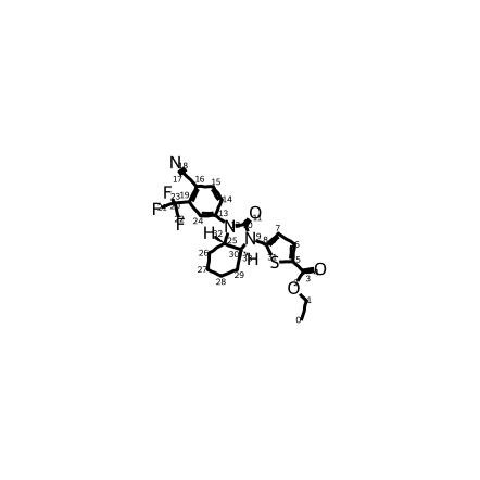 CCOC(=O)c1ccc(N2C(=O)N(c3ccc(C#N)c(C(F)(F)F)c3)[C@H]3CCCC[C@@H]32)s1